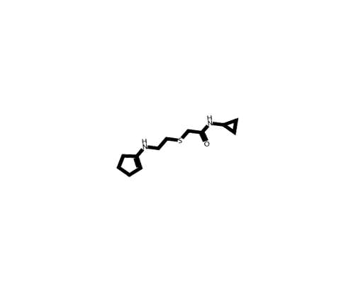 O=C(CSCCNC1=CCCC1)NC1CC1